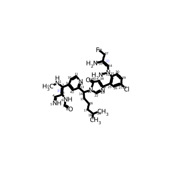 CN/C(=C(\C=N)NC=O)c1ccnc(C(CCCC(C)C)n2cnc(-c3cc(Cl)ccc3N(N)/C=C(\N)CF)cc2=O)c1